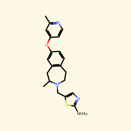 CC(=O)Nc1ncc(CN2CCc3ccc(Oc4ccnc(C)c4)cc3CC2C)s1